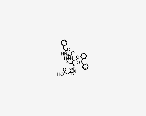 O=C(O)Cc1n[nH]c(SC2=C(C(=O)OC(c3ccccc3)c3ccccc3)N3C(=O)[C@@H](NC(=O)Cc4ccccc4)[C@H]3SC2)n1